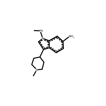 CPn1cc(C2CCN(C)CC2)c2ccc(N)cc21